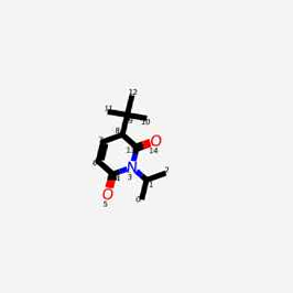 CC(C)N1C(=O)C=CC(C(C)(C)C)C1=O